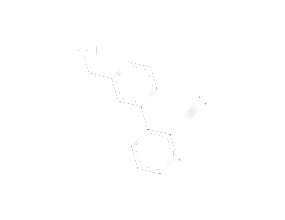 N#Cc1ncccc1-c1cccc(CO)c1